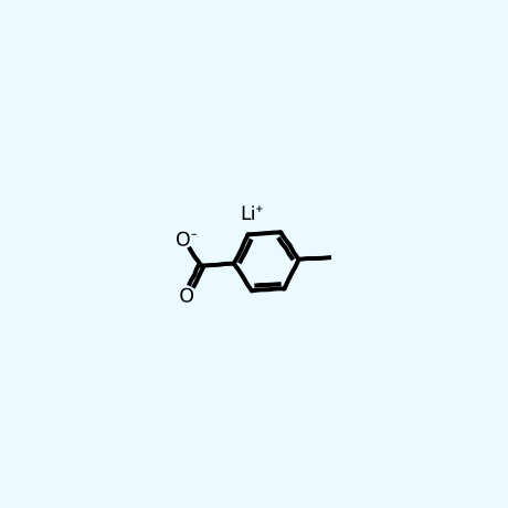 Cc1ccc(C(=O)[O-])cc1.[Li+]